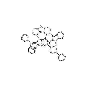 c1ccc(-c2ccc(-c3nc(-c4cccc(-c5ccccc5)c4)nc(-c4c(-n5c6ccccc6c6ccccc65)ccc5oc6cccc(-c7cccc8c7oc7ccccc78)c6c45)n3)cc2)cc1